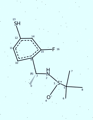 C[C@@H](N[S+]([O-])C(C)(C)C)c1ccc(S)cc1F